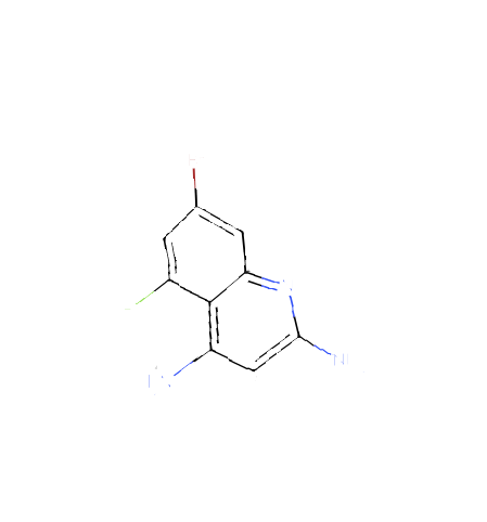 Nc1cc(N)c2c(F)cc(Br)cc2n1